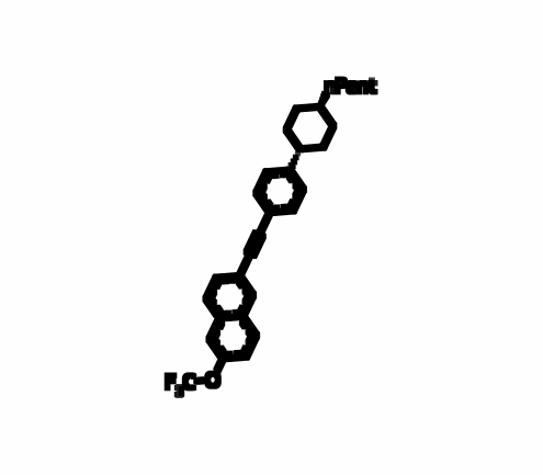 CCCCC[C@H]1CC[C@H](c2ccc(C#Cc3ccc4cc(OC(F)(F)F)ccc4c3)cc2)CC1